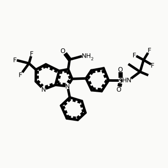 CC(C)(NS(=O)(=O)c1ccc(-c2c(C(N)=O)c3cc(C(F)(F)F)cnc3n2-c2ccccc2)cc1)C(F)(F)F